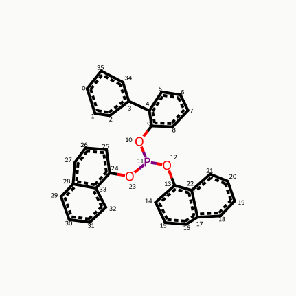 c1ccc(-c2ccccc2OP(Oc2cccc3ccccc23)Oc2cccc3ccccc23)cc1